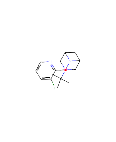 CC(C)(C)N1CC2CC(C1)N2Cc1ncccc1F